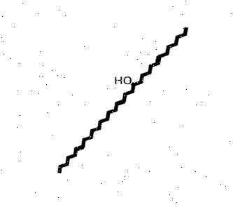 CCCCCC=CCCCCCCCCC=CCCC(O)CCCCC=CCCCCCC